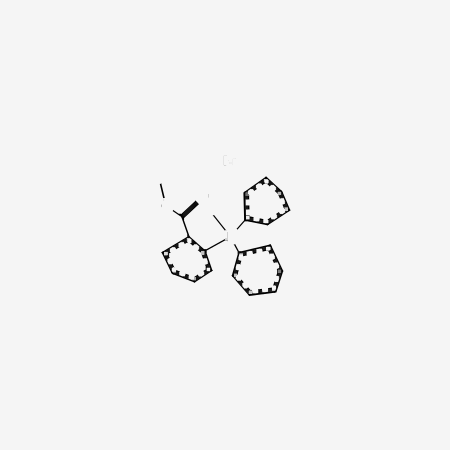 COC(=O)c1ccccc1[P+](C)(c1ccccc1)c1ccccc1.[Br-]